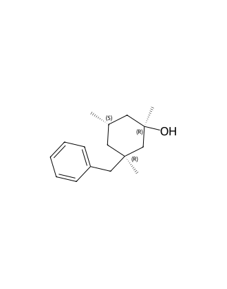 C[C@@H]1C[C@@](C)(O)C[C@@](C)(Cc2ccccc2)C1